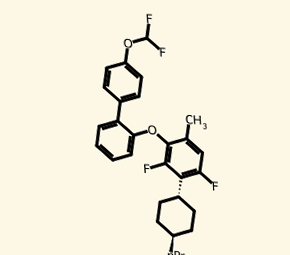 CCC[C@H]1CC[C@H](c2c(F)cc(C)c(Oc3ccccc3-c3ccc(OC(F)F)cc3)c2F)CC1